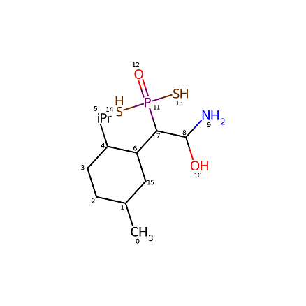 CC1CCC(C(C)C)C(C(C(N)O)P(=O)(S)S)C1